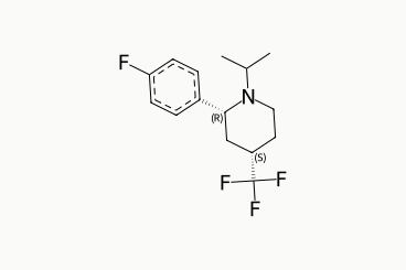 CC(C)N1CC[C@H](C(F)(F)F)C[C@@H]1c1ccc(F)cc1